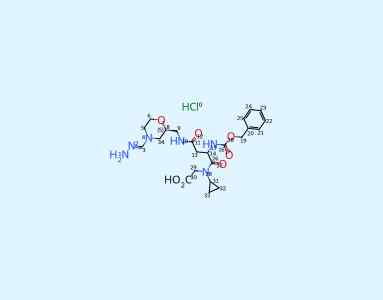 Cl.NN=CN1CCO[C@@H](CNC(=O)CC(NC(=O)OCc2ccccc2)C(=O)N(CC(=O)O)C2CC2)C1